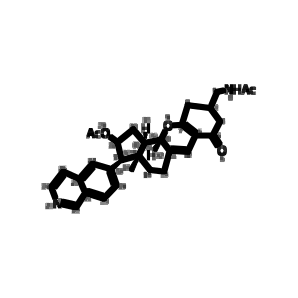 CC(=O)NCC1CC(=O)C2=C(C1)O[C@@H]1C(=C2)CC[C@]2(C)[C@@H](c3ccc4cnccc4c3)C(OC(C)=O)C[C@@H]12